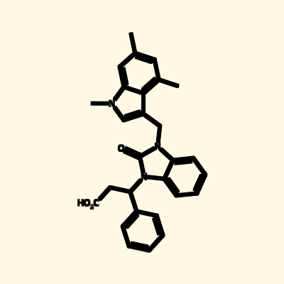 Cc1cc(C)c2c(Cn3c(=O)n(C(CC(=O)O)c4ccccc4)c4ccccc43)cn(C)c2c1